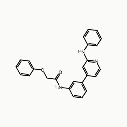 O=C(COc1ccccc1)Nc1cccc(-c2ccnc(Nc3ccccc3)c2)c1